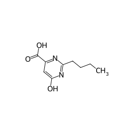 CCCCc1nc(O)cc(C(=O)O)n1